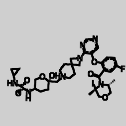 C[C@@H]1COC[C@](C)(I)N1C(=O)c1cc(F)ccc1Oc1cncnc1N1CC2(CCN(C[C@@]3(O)CC[C@@H](NS(=O)(=O)NC4CC4)CO3)CC2)C1